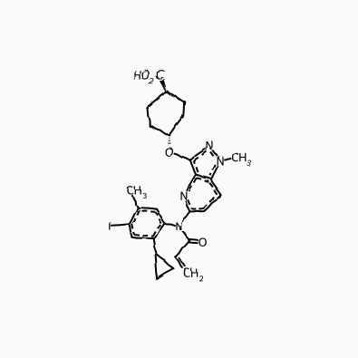 C=CC(=O)N(c1ccc2c(n1)c(O[C@H]1CC[C@H](C(=O)O)CC1)nn2C)c1cc(C)c(I)cc1C1CC1